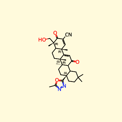 Cc1nnc([C@]23CCC(C)(C)CC2C2C(=O)C=C4[C@@]5(C)C=C(C#N)C(=O)[C@@](C)(CO)C5CC[C@@]4(C)[C@]2(C)CC3)o1